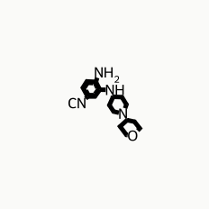 [C-]#[N+]c1ccc(N)c(NC2CCN(C3CCOCC3)CC2)c1